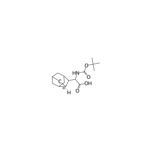 CC(C)(C)OC(=O)NC(C(=O)O)C1C2CC3CC(C2)[C@H]1C3